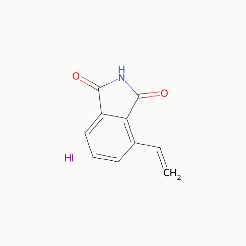 C=Cc1cccc2c1C(=O)NC2=O.I